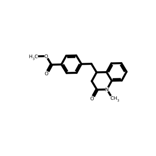 COC(=O)c1ccc(CC2CC(=O)N(C)c3ccccc32)cc1